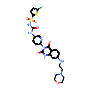 O=C(Nc1ccc(-n2c(=O)[nH]c3cc(NCCN4CCOCC4)ccc3c2=O)nc1)NS(=O)(=O)c1ccc(Cl)s1